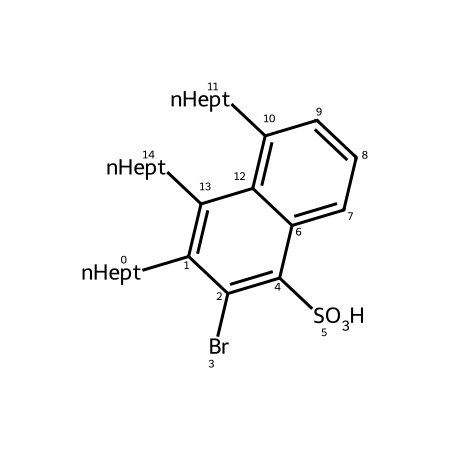 CCCCCCCc1c(Br)c(S(=O)(=O)O)c2cccc(CCCCCCC)c2c1CCCCCCC